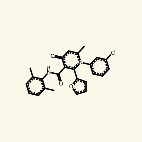 Cc1cccc(C)c1NC(=O)c1c(-c2ccco2)n(-c2cccc(Cl)c2)c(C)cc1=O